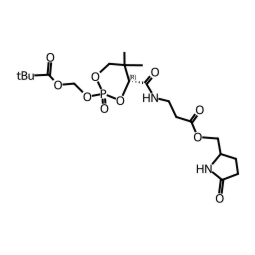 CC(C)(C)C(=O)OCOP1(=O)OCC(C)(C)[C@H](C(=O)NCCC(=O)OCC2CCC(=O)N2)O1